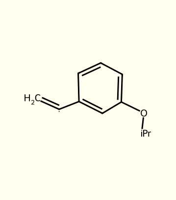 C=[C]c1cccc(OC(C)C)c1